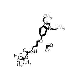 CCn1c[n+](CC)c2ccc(OCCCNC(=O)OC(C)(C)C)cc21.O=C[O-]